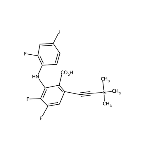 C[Si](C)(C)C#Cc1cc(F)c(F)c(Nc2ccc(I)cc2F)c1C(=O)O